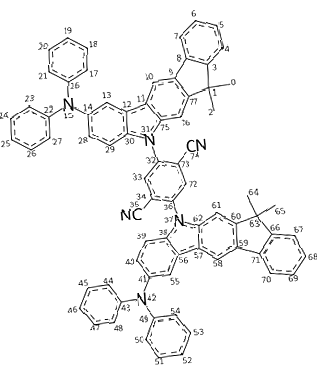 CC1(C)c2ccccc2-c2cc3c4cc(N(c5ccccc5)c5ccccc5)ccc4n(-c4cc(C#N)c(-n5c6ccc(N(c7ccccc7)c7ccccc7)cc6c6cc7c(cc65)C(C)(C)c5ccccc5-7)cc4C#N)c3cc21